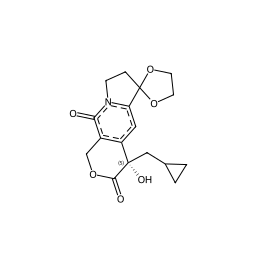 O=C1OCc2c(cc3n(c2=O)CCC32OCCO2)[C@@]1(O)CC1CC1